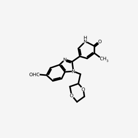 Cc1cc(-c2nc3cc(C=O)ccc3n2CC2COCCO2)c[nH]c1=O